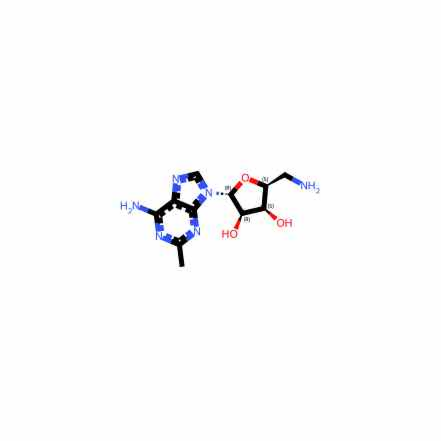 Cc1nc(N)c2ncn([C@@H]3O[C@@H](CN)[C@@H](O)[C@H]3O)c2n1